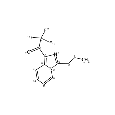 CCCc1nc(C(=O)C(F)(F)F)c2ccccn12